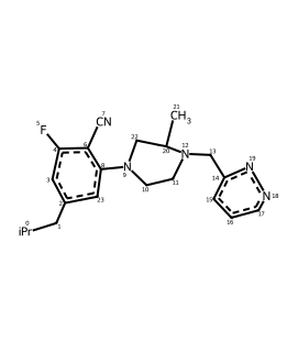 CC(C)Cc1cc(F)c(C#N)c(N2CCN(Cc3cccnn3)C(C)C2)c1